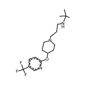 CC(C)(C)NCCCN1CCC(Oc2ccc(C(F)(F)F)cn2)CC1